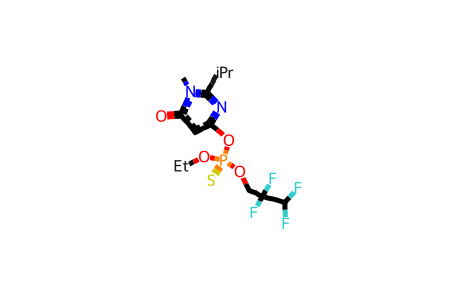 CCOP(=S)(OCC(F)(F)C(F)F)Oc1cc(=O)n(C)c(C(C)C)n1